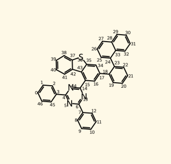 c1ccc(-c2nc(-c3ccccc3)nc(-c3cc(-c4ccccc4-c4cccc5ccccc45)cc4sc5ccccc5c34)n2)cc1